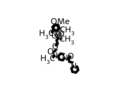 COc1cc(C)c(S(=O)(=O)N(C)CCOCC(=O)N(C)C2CCN(C(=O)CCN3CCCCC3)CC2)c(C)c1